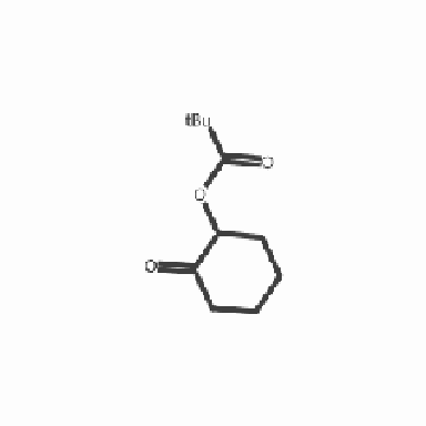 CC(C)(C)C(=O)OC1CCCCC1=O